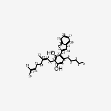 CCCCCc1cc(O)c(CC=C(C)CCC=C(C)C)c(O)c1-c1cc2ccccc2s1